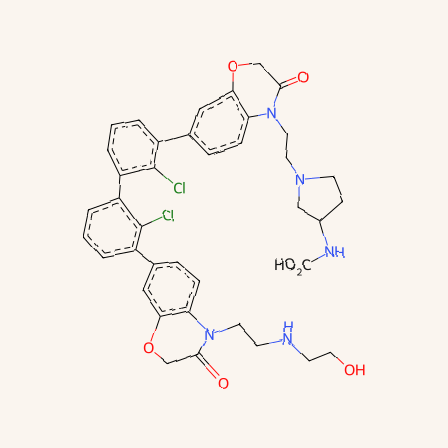 O=C(O)NC1CCN(CCN2C(=O)COc3cc(-c4cccc(-c5cccc(-c6ccc7c(c6)OCC(=O)N7CCNCCO)c5Cl)c4Cl)ccc32)C1